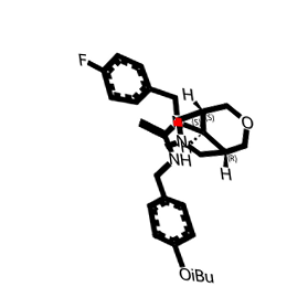 C=C(NCc1ccc(OCC(C)C)cc1)N(Cc1ccc(F)cc1)[C@@H]1[C@@H]2COC[C@H]1CN(C)C2